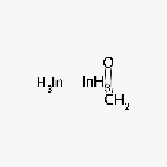 C=O.[InH3].[InH3]